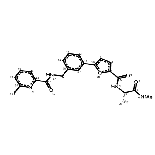 CNC(=O)[C@@H](NC(=O)c1ccc(-c2cccc(CNC(=O)c3cccc(I)n3)c2)o1)C(C)C